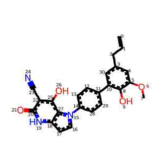 C=CCc1cc(OC)c(O)c(-c2ccc(-n3ccc4[nH]c(=O)c(C#N)c(O)c43)cc2)c1